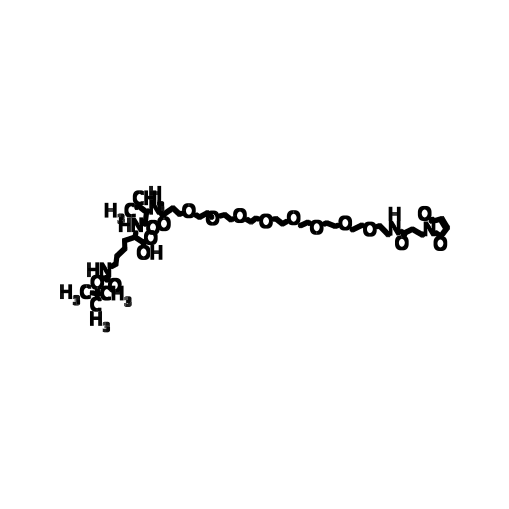 CC(C)C(NC(=O)CCOCCOCCOCCOCCOCCOCCOCCOCCNC(=O)CCN1C(=O)C=CC1=O)C(=O)NC(CCCCNC(=O)OC(C)(C)C)C(=O)O